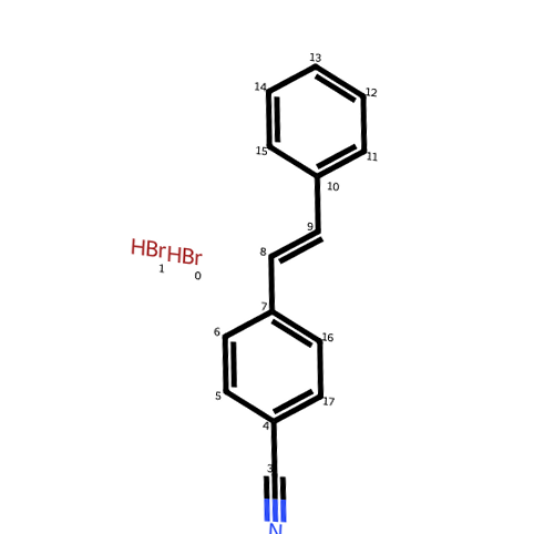 Br.Br.N#Cc1ccc(C=Cc2ccccc2)cc1